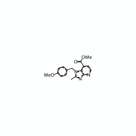 COC(=O)c1ccnc2nc(C)n(Cc3ccc(OC)cc3)c12